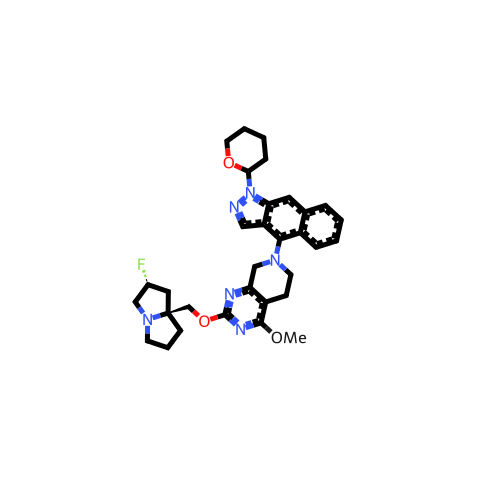 COc1nc(OC[C@@]23CCCN2C[C@H](F)C3)nc2c1CCN(c1c3ccccc3cc3c1cnn3C1CCCCO1)C2